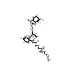 CCOCCNC(=O)CCCCCN1C=CC(=CC=Cc2sc3ccccc3[n+]2C)c2ccccc21